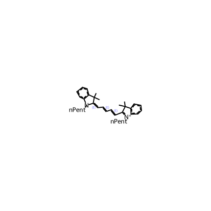 CCCCCN1/C(=C/C=C/C=C/C2=[N+](CCCCC)c3ccccc3C2(C)C)C(C)(C)c2ccccc21